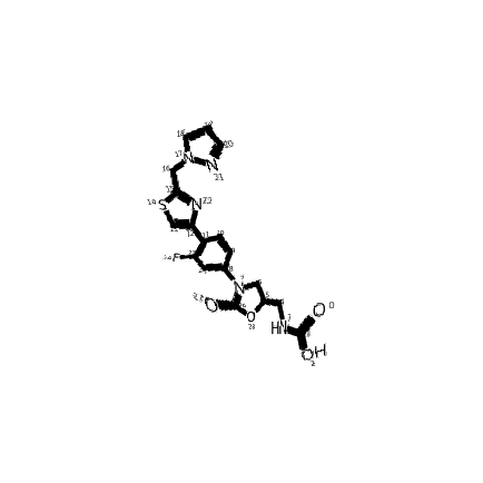 O=C(O)NCC1CN(c2ccc(-c3csc(Cn4cccn4)n3)c(F)c2)C(=O)O1